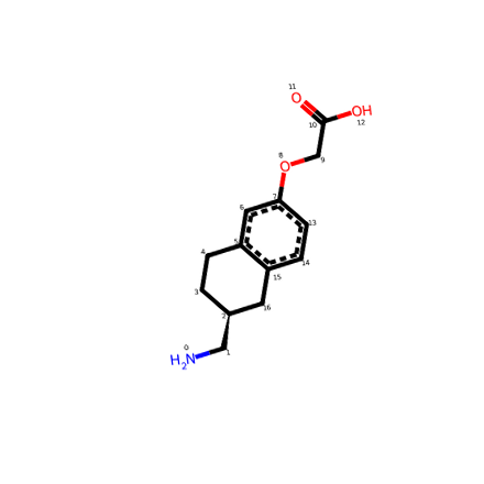 NC[C@H]1CCc2cc(OCC(=O)O)ccc2C1